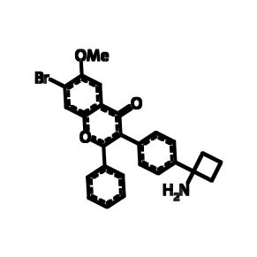 COc1cc2c(=O)c(-c3ccc(C4(N)CCC4)cc3)c(-c3ccccc3)oc2cc1Br